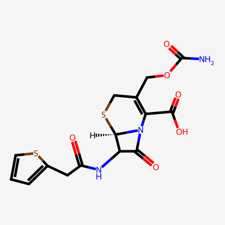 NC(=O)OCC1=C(C(=O)O)N2C(=O)C(NC(=O)Cc3cccs3)[C@H]2SC1